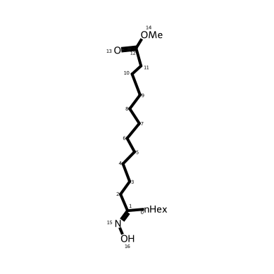 CCCCCC/C(CCCCCCCCCCC(=O)OC)=N\O